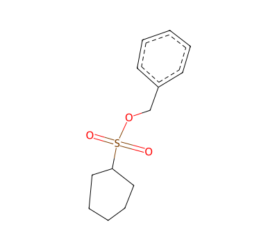 O=S(=O)(OCc1ccccc1)C1CCCCC1